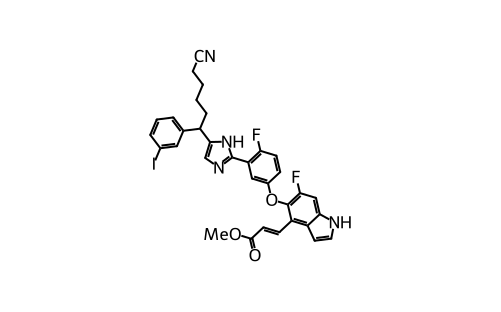 COC(=O)/C=C/c1c(Oc2ccc(F)c(-c3ncc(C(CCCCC#N)c4cccc(I)c4)[nH]3)c2)c(F)cc2[nH]ccc12